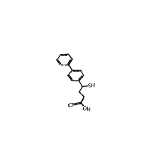 O=C(O)CCC(S)c1ccc(-c2ccccc2)cc1